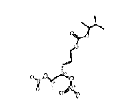 CC(C)C(C)OC(=O)OCCC[C@H](O[N+](=O)[O-])[C@H](C)O[N+](=O)[O-]